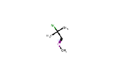 C/P=C/C(C)(C)Br